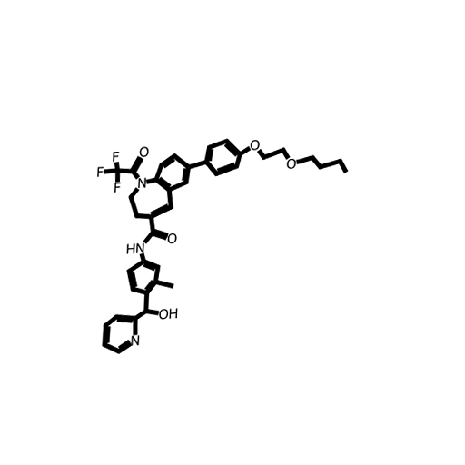 CCCCOCCOc1ccc(-c2ccc3c(c2)C=C(C(=O)Nc2ccc(C(O)c4ccccn4)c(C)c2)CCN3C(=O)C(F)(F)F)cc1